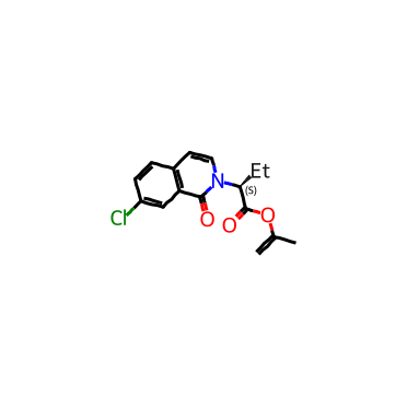 C=C(C)OC(=O)[C@H](CC)n1ccc2ccc(Cl)cc2c1=O